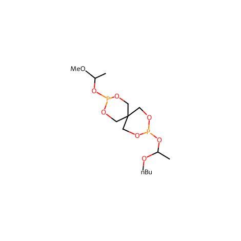 CCCCOC(C)OP1OCC2(COP(OC(C)OC)OC2)CO1